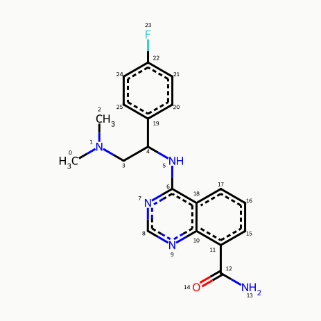 CN(C)CC(Nc1ncnc2c(C(N)=O)cccc12)c1ccc(F)cc1